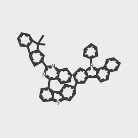 CC1(C)c2ccccc2-c2ccc(-c3nc(-c4cccc5sc6ccc(-c7ccc8c(c7)c7ccc9ccccc9c7n8-c7ccccc7)cc6c45)c4ccccc4n3)cc21